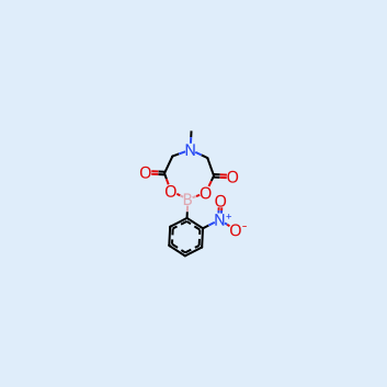 CN1CC(=O)OB(c2ccccc2[N+](=O)[O-])OC(=O)C1